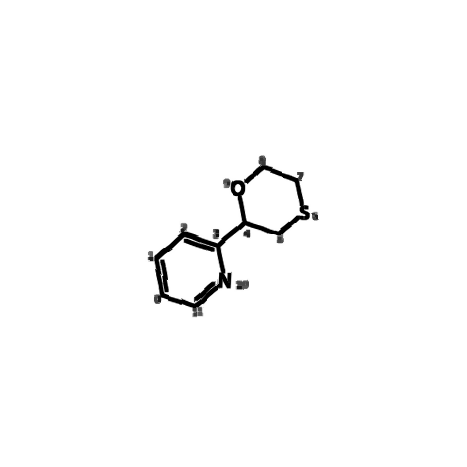 c1ccc(C2CSCCO2)nc1